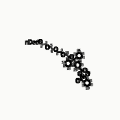 CCCCCCCCCCOCCOCCOCCOCCOC(c1ccccc1)(c1ccccc1)c1ccc(C(=O)ON2C(=O)c3ccccc3C2=O)cc1